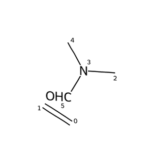 C=C.CN(C)C=O